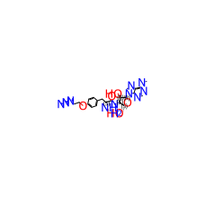 CN(C)c1ncnc2c1ncn2[C@@H]1O[C@H](CO)[C@@H](NC(=O)[C@@H](N)Cc2ccc(OCCN=[N+]=[N-])cc2)[C@H]1O